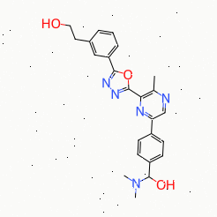 Cc1ncc(-c2ccc(C(O)N(C)C)cc2)nc1-c1nnc(-c2cccc(CCO)c2)o1